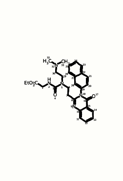 CCOC(=O)CNC(=O)N(CCc1nc2ccccc2c(=O)n1-c1ccc2ccccc2c1)CCN(C)C